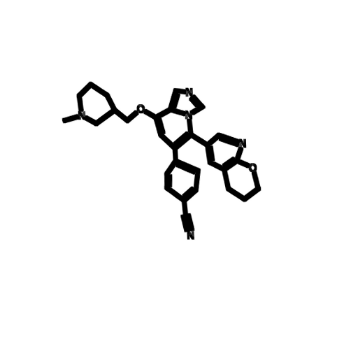 CN1CCCC(COc2cc(-c3ccc(C#N)cc3)c(-c3cnc4c(c3)CCCO4)n3cncc23)C1